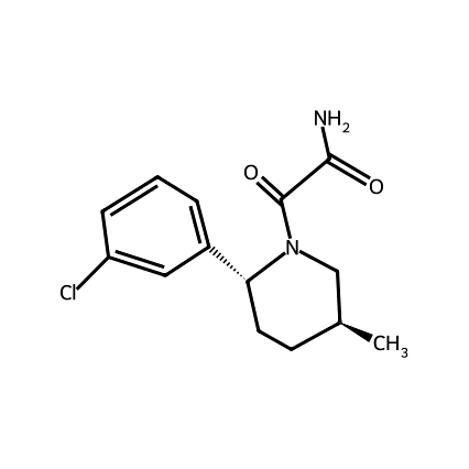 C[C@H]1CC[C@H](c2cccc(Cl)c2)N(C(=O)C(N)=O)C1